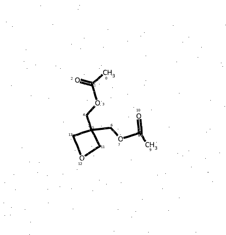 CC(=O)OCC1(COC(C)=O)COC1